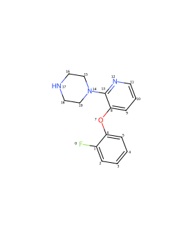 Fc1ccccc1Oc1cccnc1N1CCNCC1